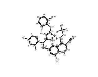 Cc1nc(F)ccc1[C@H](Nc1cc(Cl)c2ncc(C#N)c(NCC(C)(C)C)c2c1)c1cn(Cc2c(F)cccc2F)nn1